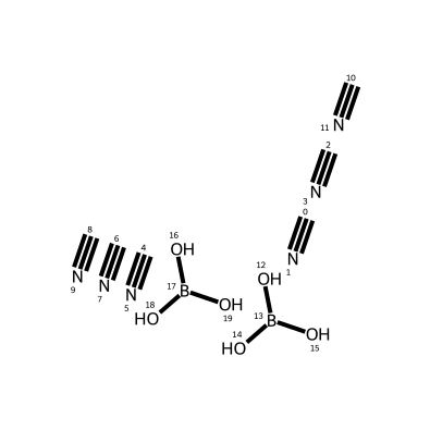 C#N.C#N.C#N.C#N.C#N.C#N.OB(O)O.OB(O)O